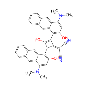 CN(C)c1cc(O)c(C2=C(O)C(c3c(O)cc(N(C)C)c4cc5ccccc5cc34)C2=C(C#N)C#N)c2cc3ccccc3cc12